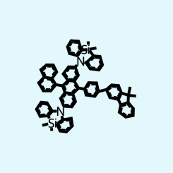 CC1(C)c2ccccc2-c2cc(-c3ccc(-c4c5cc(N6c7ccccc7[Si](C)(C)c7ccccc76)ccc5c(-c5cccc6ccccc56)c5cc(N6c7ccccc7[Si](C)(C)c7ccccc76)ccc45)cc3)ccc21